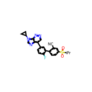 CC(C)S(=O)(=O)c1ccc(-c2cc(-c3cnnc4c3ncn4C3CC3)ccc2F)c(C#N)c1